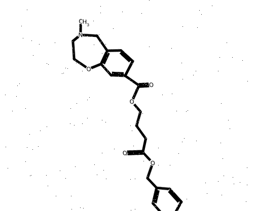 CN1CCOc2cc(C(=O)OCCCC(=O)OCc3ccccc3)ccc2C1